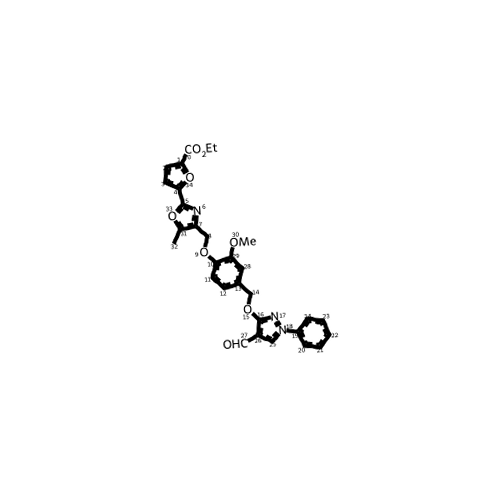 CCOC(=O)c1ccc(-c2nc(COc3ccc(COc4nn(-c5ccccc5)cc4C=O)cc3OC)c(C)o2)o1